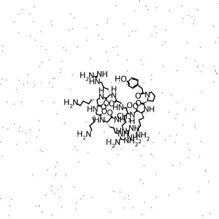 CNC(=O)[C@H](CCCNC(N)N)NC(=O)[C@H](CCCCN)NC(=O)[C@H](CCCCN)NC(=O)[C@H](CCCNC(=N)N)NC(=O)CNC(=O)[C@H](CCCNC(=N)N)NC(=O)[C@H](CCCCN)NC(=O)[C@@H]1CCCN1C(=O)Cc1ccc(O)cc1